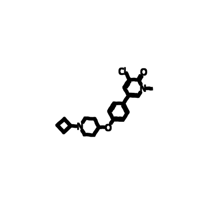 Cn1cc(-c2ccc(OC3CCN(C4CCC4)CC3)cc2)cc(Cl)c1=O